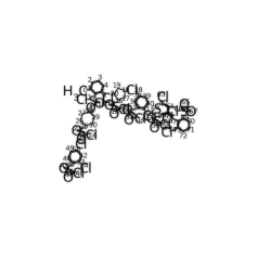 Cc1cccc(Cl)c1S(=O)(=O)Cl.O=S(=O)(Cl)C1CCCC1.O=S(=O)(Cl)C1CCCCC1.O=S(=O)(Cl)c1cc(Cl)ccc1Cl.O=S(=O)(Cl)c1ccc(Cl)cc1Cl.O=S(=O)(Cl)c1ccc(Cl)s1.O=S(=O)(Cl)c1cccc(Cl)c1Cl